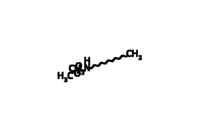 CCCCCCCCCCCCNCC(=O)OC(C)C